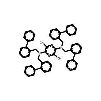 [C-]#[N+]c1nc(N(Cc2ccccc2-c2ccccc2)Cc2ccccc2-c2ccccc2)c(C#N)nc1N(Cc1ccccc1-c1ccccc1)Cc1ccccc1-c1ccccc1